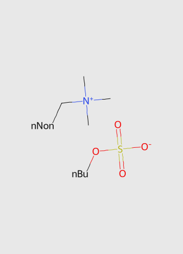 CCCCCCCCCC[N+](C)(C)C.CCCCOS(=O)(=O)[O-]